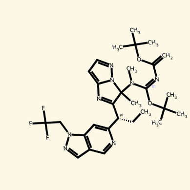 C=C(/N=C(/OC(C)(C)C)N(C)C1(C)C([C@H](CC)c2cc3c(cn2)cnn3CC(F)(F)F)=Nc2ccnn21)OC(C)(C)C